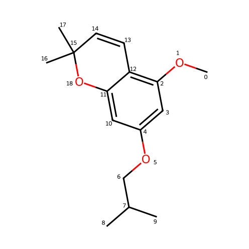 COc1cc(OCC(C)C)cc2c1C=CC(C)(C)O2